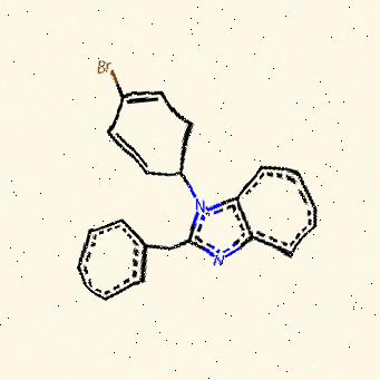 BrC1=CCC(n2c(-c3ccccc3)nc3ccccc32)C=C1